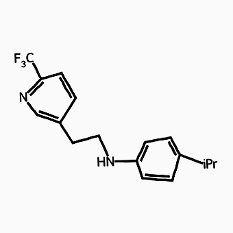 CC(C)c1ccc(NCCc2ccc(C(F)(F)F)nc2)cc1